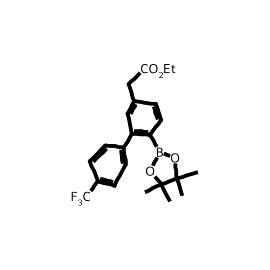 CCOC(=O)Cc1ccc(B2OC(C)(C)C(C)(C)O2)c(-c2ccc(C(F)(F)F)cc2)c1